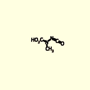 CN(N=C=O)C(=O)O